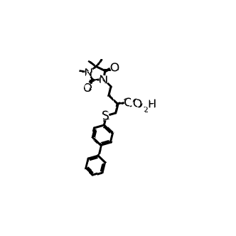 CN1C(=O)N(CCC(CSc2ccc(-c3ccccc3)cc2)C(=O)O)C(=O)C1(C)C